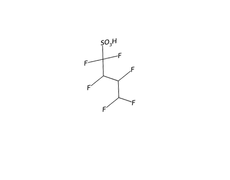 O=S(=O)(O)C(F)(F)C(F)C(F)C(F)F